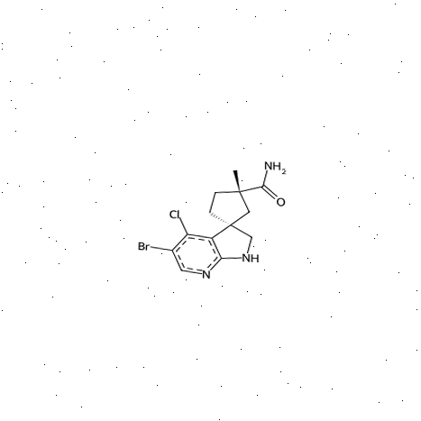 C[C@]1(C(N)=O)CC[C@@]2(CNc3ncc(Br)c(Cl)c32)C1